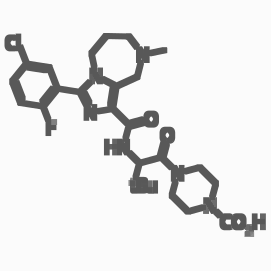 CN1CCCn2c(-c3cc(Cl)ccc3F)nc(C(=O)NC(C(=O)N3CCN(C(=O)O)CC3)C(C)(C)C)c2C1